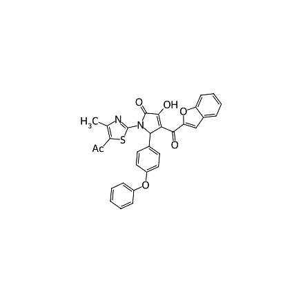 CC(=O)c1sc(N2C(=O)C(O)=C(C(=O)c3cc4ccccc4o3)C2c2ccc(Oc3ccccc3)cc2)nc1C